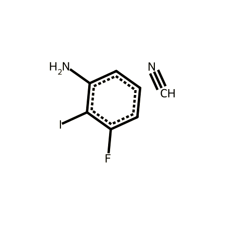 C#N.Nc1cccc(F)c1I